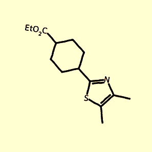 CCOC(=O)C1CCC(c2nc(C)c(C)s2)CC1